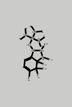 CN(C)[P+](ON1C2=CC=C(F)C(F)(F)C2(F)N(F)N1F)(N(C)C)N(C)C